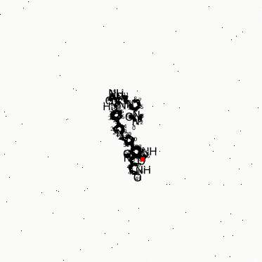 CN1CCN([C@@H]2CCCN(c3cnc(C(N)=O)c(Nc4ccc(C5CCN(CC6CCC(c7cc8[nH]ccc8c8c(C9CCC(=O)NC9=O)noc78)C6)CC5)cc4)n3)C2)C1=O